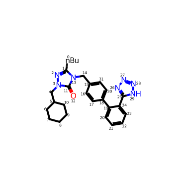 CCCCc1nn(CC2CCCCC2)c(=O)n1Cc1ccc(-c2ccccc2-c2nnn[nH]2)cc1